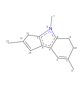 CC1=Cc2c3c(n(C)c2CC1)CC(C)=C3